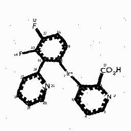 O=C(O)c1nccc[c]1[Ir+][c]1ccc(F)c(F)c1-c1ccccn1